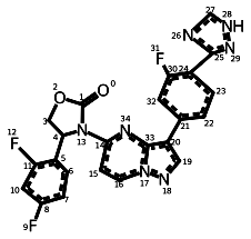 O=C1OCC(c2ccc(F)cc2F)N1c1ccn2ncc(-c3ccc(-c4nc[nH]n4)c(F)c3)c2n1